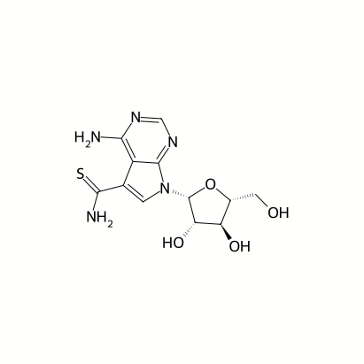 NC(=S)c1cn([C@@H]2O[C@H](CO)[C@@H](O)[C@@H]2O)c2ncnc(N)c12